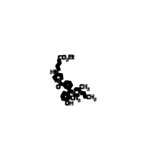 C=CCN1C[C@@H](C)N(C(c2cccc(O)c2)c2cccc(C(=O)N3CCC(NCCCCC(=O)OCC)CC3)c2)C[C@H]1C